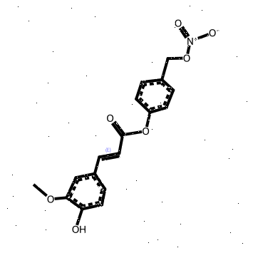 COc1cc(/C=C/C(=O)Oc2ccc(CO[N+](=O)[O-])cc2)ccc1O